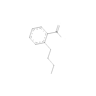 CCCCc1ccccc1C(=O)S